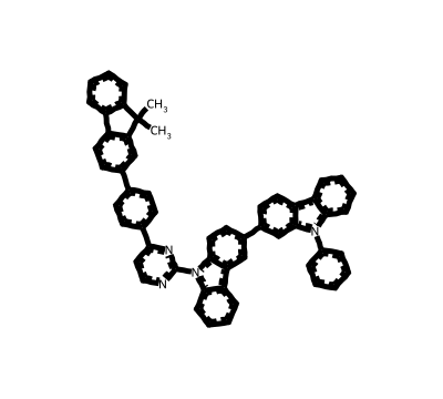 CC1(C)c2ccccc2-c2ccc(-c3ccc(-c4ccnc(-n5c6ccccc6c6cc(-c7ccc8c9ccccc9n(-c9ccccc9)c8c7)ccc65)n4)cc3)cc21